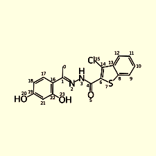 C/C(=N\NC(=O)c1sc2ccccc2c1Cl)c1ccc(O)cc1O